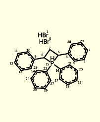 Br.Br.c1ccc(C2CC(c3ccccc3)[PH]2(c2ccccc2)c2ccccc2)cc1